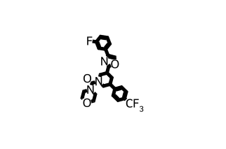 O=C(N1CCOCC1)N1CC(c2ccc(C(F)(F)F)cc2)CC(c2nc(-c3cccc(F)c3)co2)C1